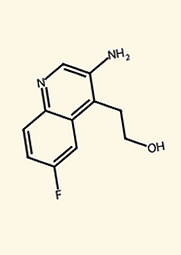 Nc1cnc2ccc(F)cc2c1CCO